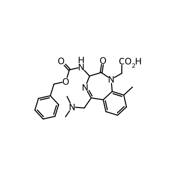 Cc1cccc2c1N(CC(=O)O)C(=O)C(NC(=O)OCc1ccccc1)N=C2CN(C)C